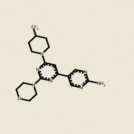 Nc1ncc(-c2cc(N3CCC(C(F)(F)F)CC3)nc(N3CCOCC3)n2)cn1